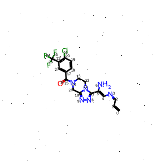 C=C/C=N\C=C(/N)c1nnc2n1CCN(C(=O)c1ccc(Cl)c(C(F)(F)F)c1)C2